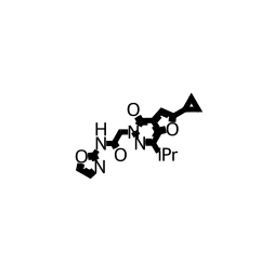 CC(C)c1nn(CC(=O)Nc2ncco2)c(=O)c2cc(C3CC3)oc12